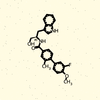 COc1ccc(-c2ccc(C(=O)N[C@@H](CO)Cc3c[nH]c4ccccc34)cc2C)cc1F